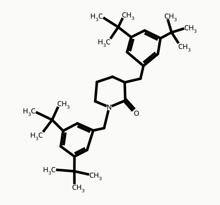 CC(C)(C)c1cc(CC2CCCN(Cc3cc(C(C)(C)C)cc(C(C)(C)C)c3)C2=O)cc(C(C)(C)C)c1